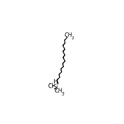 CCCCCCCCCCCCCCCCCC[SiH](C)Cl